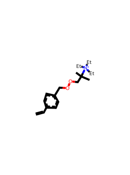 C=Cc1ccc(COOCC(C)(C)[N+](CC)(CC)CC)cc1